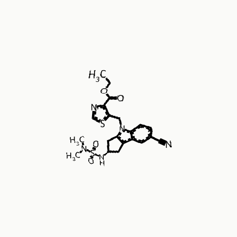 CCOC(=O)c1ncsc1Cn1c2c(c3cc(C#N)ccc31)C[C@@H](NS(=O)(=O)N(C)C)C2